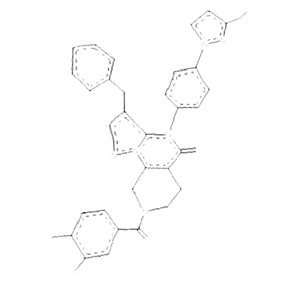 Cc1ccn(-c2ccc(-n3c(=O)c4c(n5ncc(Cc6ccccc6)c35)CN(C(=O)c3ccc(Br)c(Cl)c3)CC4)cc2)n1